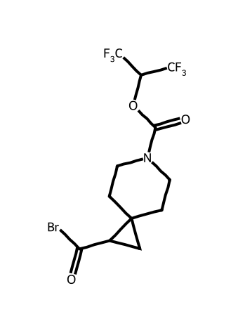 O=C(Br)C1CC12CCN(C(=O)OC(C(F)(F)F)C(F)(F)F)CC2